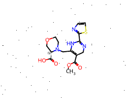 COC(=O)C1=C(CN2CCOC[C@H]2C(=O)O)NC(c2nccs2)=NC1